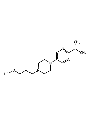 COCCCN1CCN(c2cnc(C(C)C)nc2)CC1